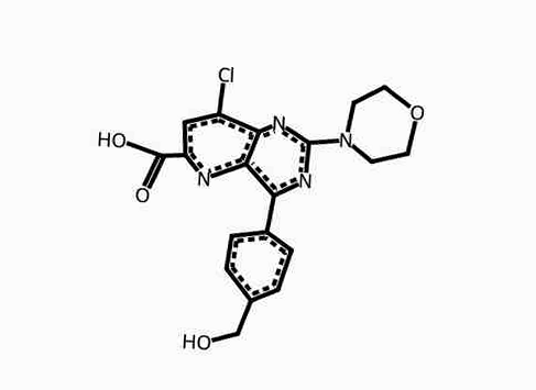 O=C(O)c1cc(Cl)c2nc(N3CCOCC3)nc(-c3ccc(CO)cc3)c2n1